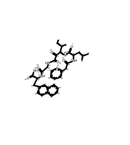 CCC(C)C(NC(=O)C(CC(C)C)NC(=O)Cc1ccccn1)C(=O)C(=O)NCC(=O)NC(Cc1ccc2ccccc2c1)C(N)=O